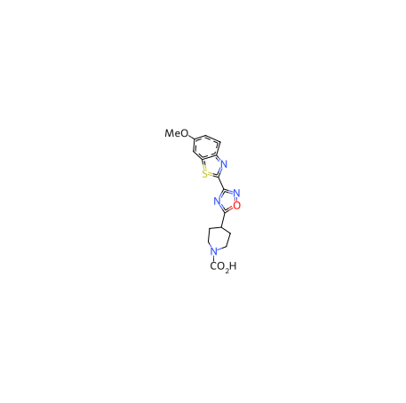 COc1ccc2nc(-c3noc(C4CCN(C(=O)O)CC4)n3)sc2c1